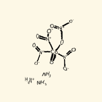 N.N.O=[N+]([O-])[O][Co](=[O])([N+](=O)[O-])([N+](=O)[O-])[N+](=O)[O-].[NH4+]